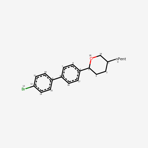 CCCCCC1CCC(c2ccc(-c3ccc(Br)cc3)cc2)OC1